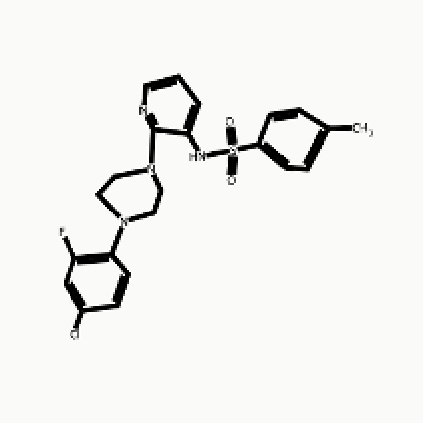 Cc1ccc(S(=O)(=O)Nc2cccnc2N2CCN(c3ccc(Cl)cc3F)CC2)cc1